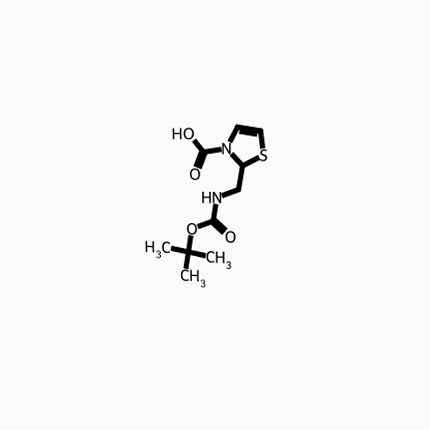 CC(C)(C)OC(=O)NCC1SC=CN1C(=O)O